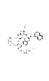 C[C@@H](C(=O)N[C@H](C(=O)N1C[C@@H](c2ccc3c(c2)CN(C(=O)[C@@H](NC(=O)[C@H](C)N(C)C(=O)OC(C)(C)C)C(C)(C)SCC(=O)O)[C@H](C(=O)N[C@@H]2CCCc4ccccc42)C3)C[C@H]1C(=O)N[C@@H]1CCCc2ccccc21)C(C)(C)C)N(C)C(=O)OC(C)(C)C